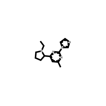 CCN1CCCC1c1cc(C)nc(-n2ccnc2)n1